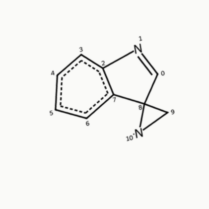 C1=Nc2ccccc2C12C[N]2